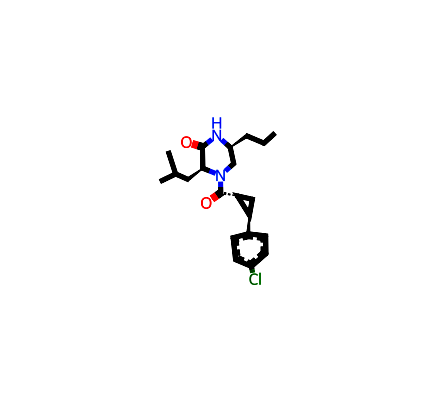 CCC[C@H]1CN(C(=O)[C@@H]2C[C@H]2c2ccc(Cl)cc2)[C@@H](CC(C)C)C(=O)N1